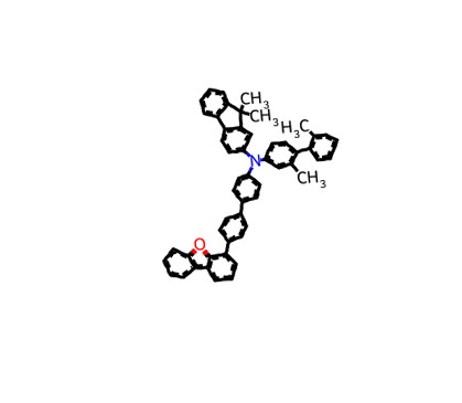 Cc1ccccc1-c1ccc(N(c2ccc(-c3ccc(-c4cccc5c4oc4ccccc45)cc3)cc2)c2ccc3c(c2)C(C)(C)c2ccccc2-3)cc1C